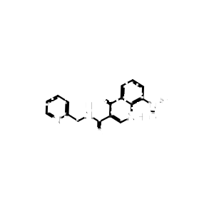 O=C(NCc1ccccn1)c1c[nH]c2c([N+](=O)[O-])cccc2c1=O